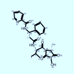 CC(C)[C@H](NC(=O)C[C@H](NC(=O)c1ccccn1)c1ccccc1)C(=O)[C@@H]1C(=O)N(O)C(=O)[C@H]1C